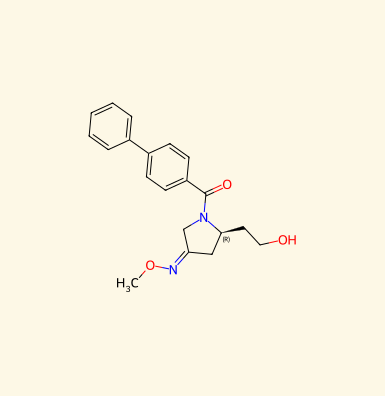 CON=C1C[C@H](CCO)N(C(=O)c2ccc(-c3ccccc3)cc2)C1